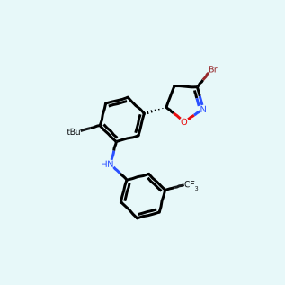 CC(C)(C)c1ccc([C@@H]2CC(Br)=NO2)cc1Nc1cccc(C(F)(F)F)c1